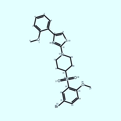 COc1ccccc1-c1csc(N2CCC(S(=O)(=O)c3cc(Br)ccc3OC)CC2)n1